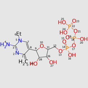 C=C1N=C(N)N(CC)C=C1C1OC(COP(=O)(O)OP(=O)(O)OP(=O)(O)O)C(O)C1O